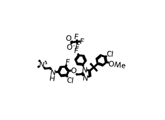 COc1cc(C(C)(C)c2cnc(COc3c(F)cc(NCC[N+](C)(C)C)cc3Cl)n2-c2ccc(F)cc2)ccc1Cl.O=C([O-])C(F)(F)F